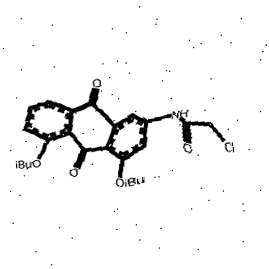 CC(C)COc1cccc2c1C(=O)c1c(OCC(C)C)cc(NC(=O)CCl)cc1C2=O